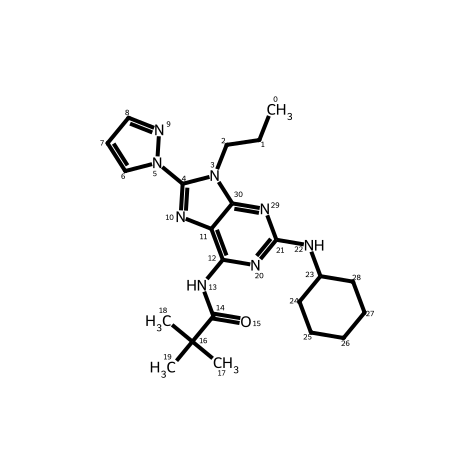 CCCn1c(-n2cccn2)nc2c(NC(=O)C(C)(C)C)nc(NC3CCCCC3)nc21